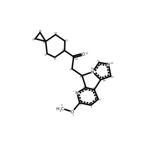 COc1ccc2c(n1)C(CC(=O)C1CCC3(CC1)CC3)n1cncc1-2